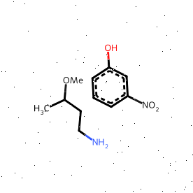 COC(C)CCN.O=[N+]([O-])c1cccc(O)c1